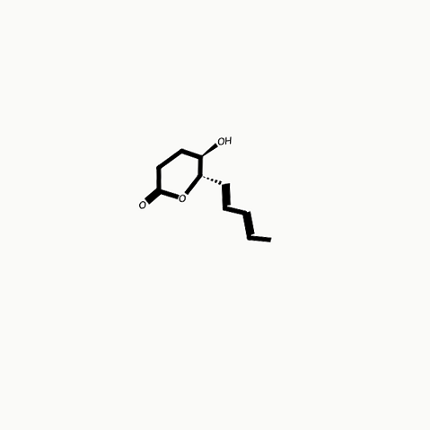 C/C=C/C=C/[C@@H]1OC(=O)CC[C@H]1O